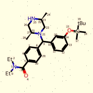 CCN(CC)C(=O)c1ccc(C(c2cccc(O[Si](C)(C)C(C)(C)C)c2)N2C[C@H](C)NC[C@@H]2C)cc1